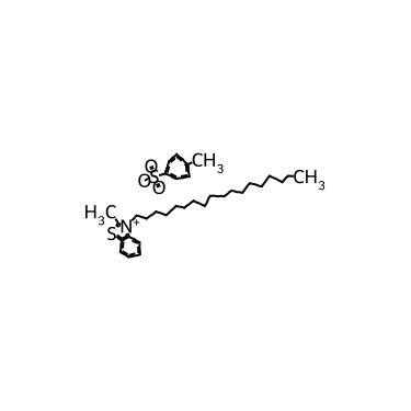 CCCCCCCCCCCCCCCCCC[n+]1c(C)sc2ccccc21.Cc1ccc(S(=O)(=O)[O-])cc1